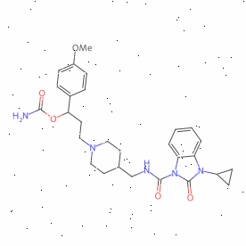 COc1ccc(C(CCN2CCC(CNC(=O)n3c(=O)n(C4CC4)c4ccccc43)CC2)OC(N)=O)cc1